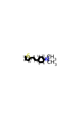 CN(C)c1ccc(C=Cc2cccs2)cc1